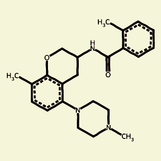 Cc1ccccc1C(=O)NC1COc2c(C)ccc(N3CCN(C)CC3)c2C1